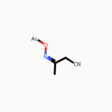 CC(=O)ON=C(C)CC#N